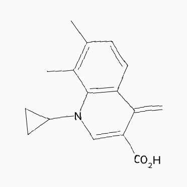 C=C1C(C(=O)O)=CN(C2CC2)c2c1ccc(C)c2C